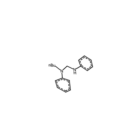 CCCCN(CNc1ccccc1)c1ccccc1